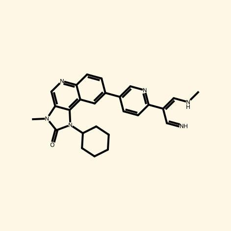 CN/C=C(\C=N)c1ccc(-c2ccc3ncc4c(c3c2)n(C2CCCCC2)c(=O)n4C)cn1